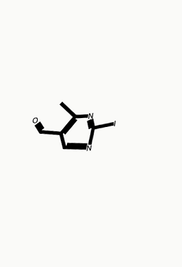 Cc1nc(I)ncc1C=O